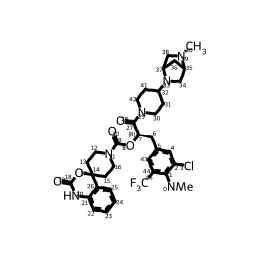 CNc1c(Cl)cc(C[C@@H](OC(=O)N2CCC3(CC2)OC(=O)Nc2ccccc23)C(=O)N2CCC(N3CC4CC3CN4C)CC2)cc1C(F)(F)F